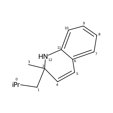 CC(C)CC1(C)C=Cc2ccccc2N1